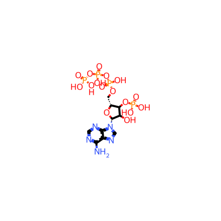 Nc1ncnc2c1ncn2[C@@H]1O[C@H](COP(=O)(O)OP(=O)(O)OP(=O)(O)O)C(OP(=O)(O)O)C1O